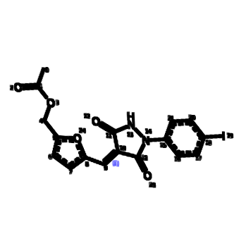 CC(=O)OCc1ccc(/C=C2\C(=O)NN(c3ccc(I)cc3)C2=O)o1